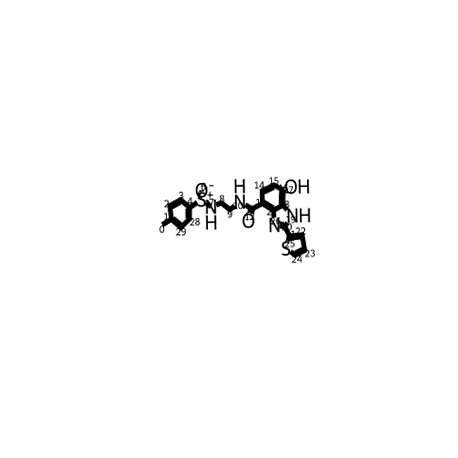 Cc1ccc([S+]([O-])NCCNC(=O)c2ccc(O)c3[nH]c(-c4cccs4)nc23)cc1